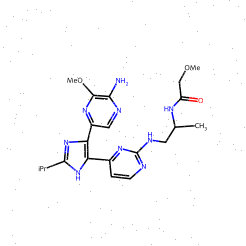 COCC(=O)NC(C)CNc1nccc(-c2[nH]c(C(C)C)nc2-c2cnc(N)c(OC)n2)n1